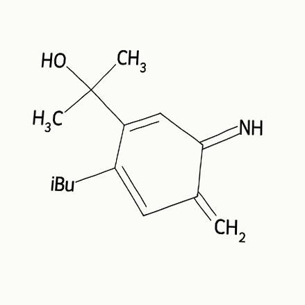 C=C1C=C(C(C)CC)C(C(C)(C)O)=CC1=N